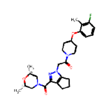 Cc1c(F)cccc1OC1CCN(C(=O)Cn2nc(C(=O)N3C[C@@H](C)O[C@@H](C)C3)c3c2CCC3)CC1